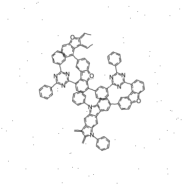 C=c1c(=C)n(-c2ccccc2)c2cc3c4cc(-c5ccc6oc7cccc(-c8nc(-c9ccccc9)nc(-c9cccc(-c%10ccc(-c%11nc(-c%12ccccc%12)nc(-c%12ccccc%12)n%11)c%11c%10oc%10ccc(-c%12cccc%13oc(=C/C)/c(=C\C)c%12%13)cc%10%11)c9)n8)c7c6c5)ccc4n(-c4ccccc4)c3cc12